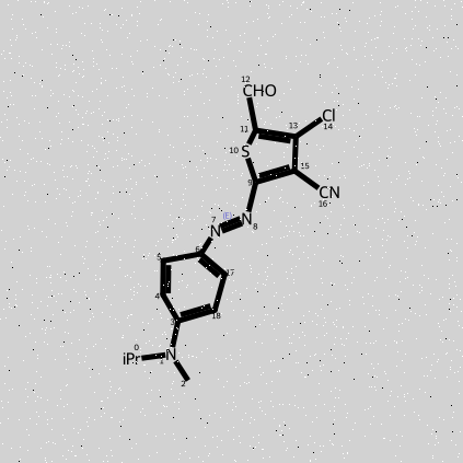 CC(C)N(C)c1ccc(/N=N/c2sc(C=O)c(Cl)c2C#N)cc1